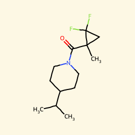 CC(C)C1CCN(C(=O)C2(C)CC2(F)F)CC1